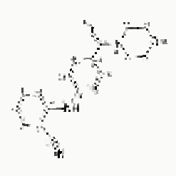 N#Cc1ccccc1Nc1ccc(C(=O)N2CCOCC2)cc1